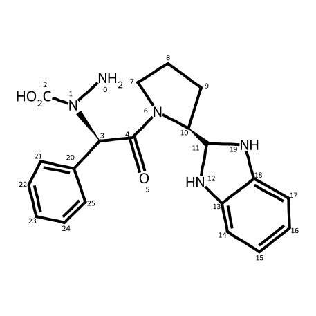 NN(C(=O)O)[C@@H](C(=O)N1CCC[C@H]1C1Nc2ccccc2N1)c1ccccc1